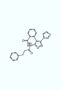 NC(=O)c1ccccc1-c1c(-c2ccsc2)noc1NC(=O)CCc1ccccc1